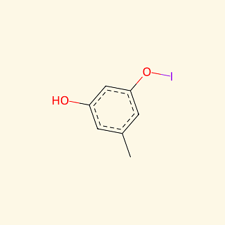 Cc1cc(O)cc(OI)c1